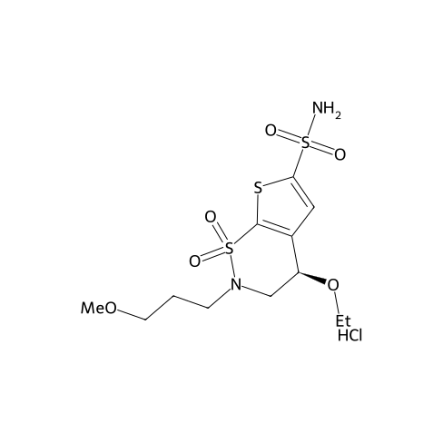 CCO[C@H]1CN(CCCOC)S(=O)(=O)c2sc(S(N)(=O)=O)cc21.Cl